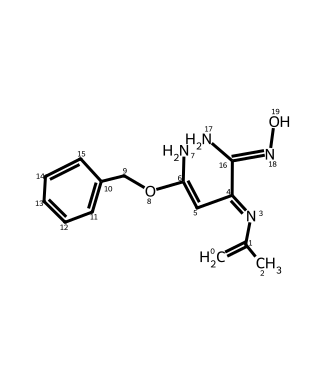 C=C(C)/N=C(\C=C(/N)OCc1ccccc1)C(/N)=N/O